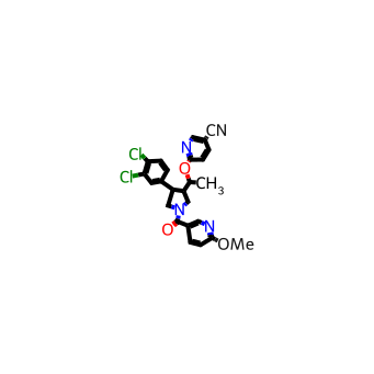 COc1ccc(C(=O)N2CC(c3ccc(Cl)c(Cl)c3)C(C(C)Oc3ccc(C#N)cn3)C2)cn1